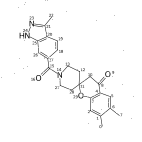 Cc1cc2c(cc1C)C(=O)CC1(CCN(C(=O)c3ccc4c(C)n[nH]c4c3)CC1)O2